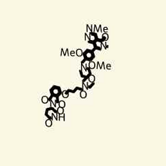 CNc1cc2c(=O)n(C)cc(-c3cc(OC)c(CN4CCC5(CC4)CN(C(=O)CCCOc4cccc6c4C(=O)N(C4CCC(=O)NC4=O)C6=O)CCO5)c(OC)c3)c2cn1